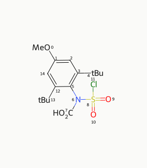 COc1cc(C(C)(C)C)c(N(C(=O)O)S(=O)(=O)Cl)c(C(C)(C)C)c1